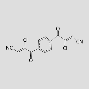 N#CC=C(Cl)C(=O)c1ccc(C(=O)C(Cl)=CC#N)cc1